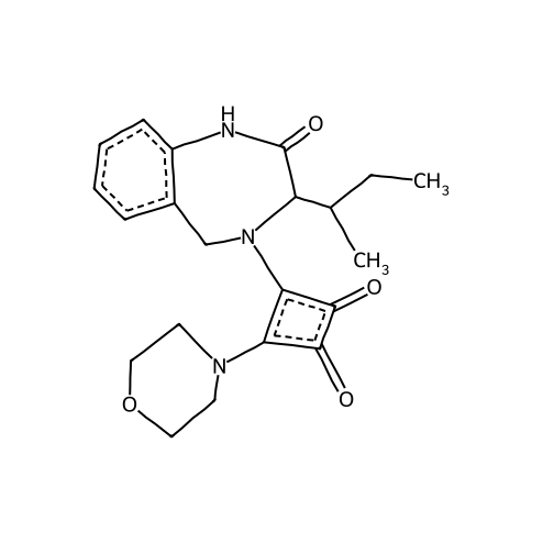 CCC(C)C1C(=O)Nc2ccccc2CN1c1c(N2CCOCC2)c(=O)c1=O